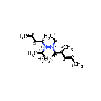 C=C(C(C)C=CC)N(CC)N(CCCC)C(C)C